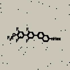 CCCCCCc1ccc2cc(-c3cc(F)c(-c4cc(F)c(OC(F)(F)F)c(F)c4)c(F)c3)ccc2c1